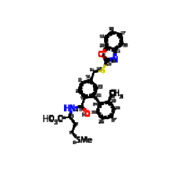 CSCC[C@H](NC(=O)c1ccc(CSc2nc3ccccc3o2)cc1-c1ccccc1C)C(=O)O